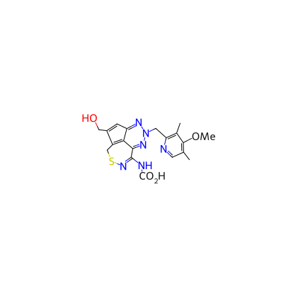 COc1c(C)cnc(Cn2nc3cc(CO)c4c-3c(n2)C(NC(=O)O)=NSC4)c1C